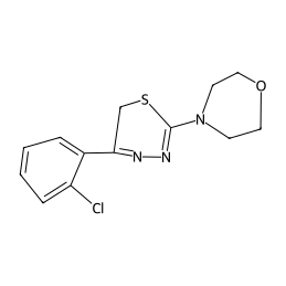 Clc1ccccc1C1=NN=C(N2CCOCC2)SC1